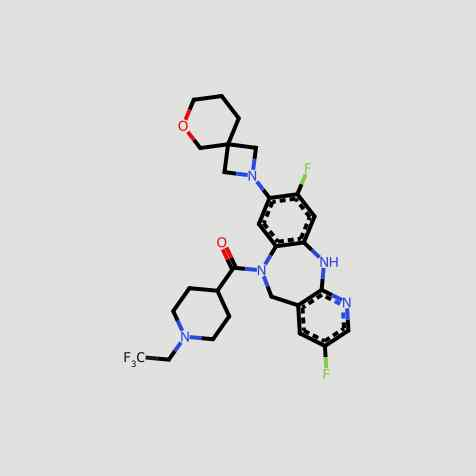 O=C(C1CCN(CC(F)(F)F)CC1)N1Cc2cc(F)cnc2Nc2cc(F)c(N3CC4(CCCOC4)C3)cc21